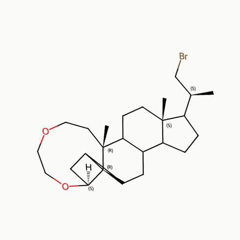 C[C@H](CBr)C1CCC2C3CC4C5C[C@@H]6OCCOCC[C@](C)(C3CC[C@@]21C)[C@@]456